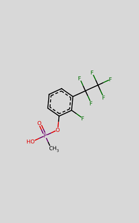 CP(=O)(O)Oc1cccc(C(F)(F)C(F)(F)F)c1F